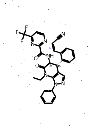 CCN1C(=O)[C@@H](NC(=O)c2nccc(C(F)(F)F)n2)[C@H](c2ccccc2/C=C\C#N)c2cnn(-c3ccccc3)c21